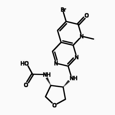 Cn1c(=O)c(Br)cc2cnc(N[C@@H]3COC[C@@H]3NC(=O)O)nc21